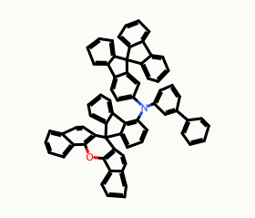 c1ccc(-c2cccc(N(c3ccc4c(c3)C3(c5ccccc5-c5ccccc53)c3ccccc3-4)c3cccc4c3-c3ccccc3C43c4ccc5ccccc5c4Oc4c3ccc3ccccc43)c2)cc1